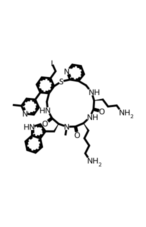 Cc1cc(-c2ccc(CI)c3c2CNC(=O)[C@H](Cc2c[nH]c4ccccc24)N(C)C(=O)[C@H](CCCCN)NC(=O)[C@H](CCCN)NCc2cccnc2S3)ccn1